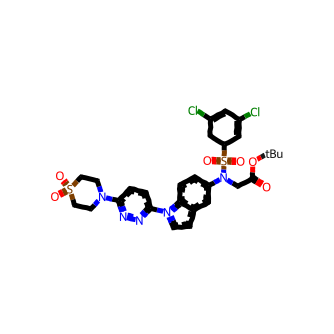 CC(C)(C)OC(=O)CN(c1ccc2c(ccn2-c2ccc(N3CCS(=O)(=O)CC3)nn2)c1)S(=O)(=O)C1C=C(Cl)C=C(Cl)C1